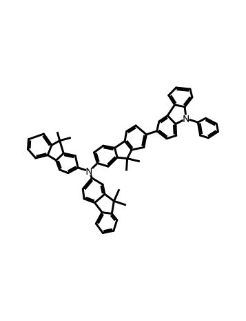 CC1(C)c2ccccc2-c2ccc(N(c3ccc4c(c3)C(C)(C)c3ccccc3-4)c3ccc4c(c3)C(C)(C)c3cc(-c5ccc6c(c5)c5ccccc5n6-c5ccccc5)ccc3-4)cc21